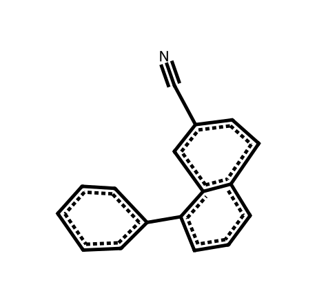 N#Cc1ccc2cccc(-c3ccccc3)c2c1